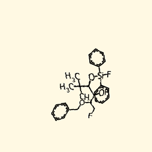 CC(C)(C)C(O[Si](F)(c1ccccc1)c1ccccc1)C(O)C(CF)OCc1ccccc1